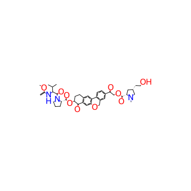 C=C(N[C@H](C(=O)N1[C@@H](C)CC[C@H]1C(=O)OC1CCc2cc3c(cc2C1=O)OCc1cc(C(=O)COC(=O)[C@@H]2C[C@H](CCO)CN2C)ccc1-3)C(C)C)OC